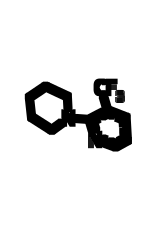 FC(F)(F)c1cccnc1N1CCCCC1